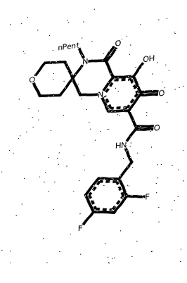 CCCCCN1C(=O)c2c(O)c(=O)c(C(=O)NCc3ccc(F)cc3F)cn2CC12CCOCC2